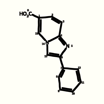 O=C(O)c1ccc2nc(-c3ccccc3)cn2c1